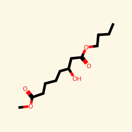 CCCCOC(=O)CC(O)CCCCC(=O)OC